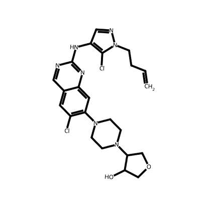 C=CCCn1ncc(Nc2ncc3cc(Cl)c(N4CCN(C5COCC5O)CC4)cc3n2)c1Cl